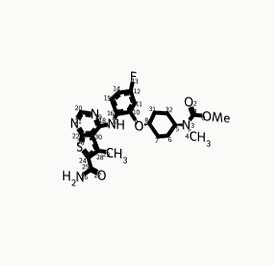 COC(=O)N(C)[C@H]1CC[C@H](Oc2cc(F)ccc2Nc2ncnc3sc(C(N)=O)c(C)c23)CC1